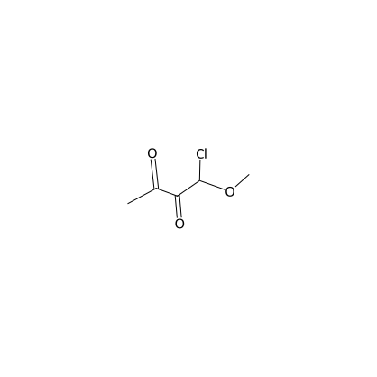 COC(Cl)C(=O)C(C)=O